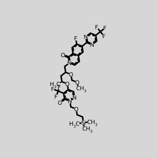 COCOC(C[C@H](C)Oc1cnn(COCC[Si](C)(C)C)c(=O)c1C(F)(F)F)Cn1ccc2cc(-c3ncc(C(F)(F)F)cn3)c(F)cc2c1=O